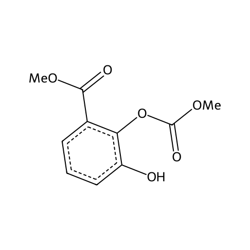 COC(=O)Oc1c(O)cccc1C(=O)OC